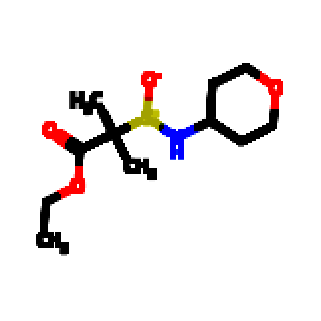 CCOC(=O)C(C)(C)[S+]([O-])NC1CCOCC1